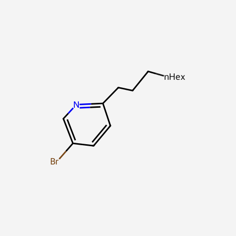 CCCCCCCCCc1ccc(Br)cn1